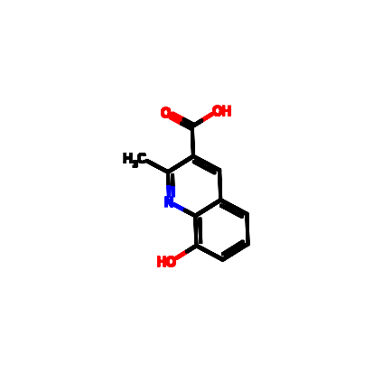 Cc1nc2c(O)cccc2cc1C(=O)O